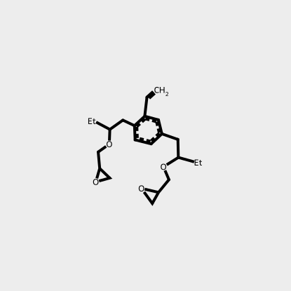 C=Cc1cc(CC(CC)OCC2CO2)ccc1CC(CC)OCC1CO1